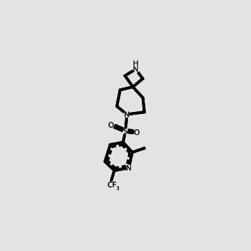 Cc1nc(C(F)(F)F)ccc1S(=O)(=O)N1CCC2(CC1)CNC2